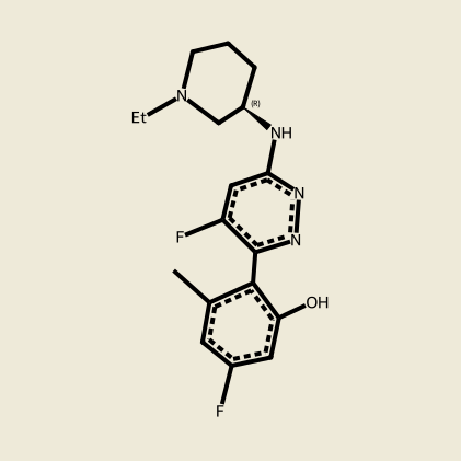 CCN1CCC[C@@H](Nc2cc(F)c(-c3c(C)cc(F)cc3O)nn2)C1